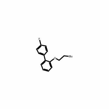 CC(C)(C)CCOc1ccccc1-c1ccc(F)cc1